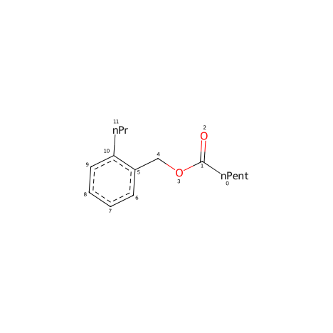 CCCCCC(=O)OCc1ccccc1CCC